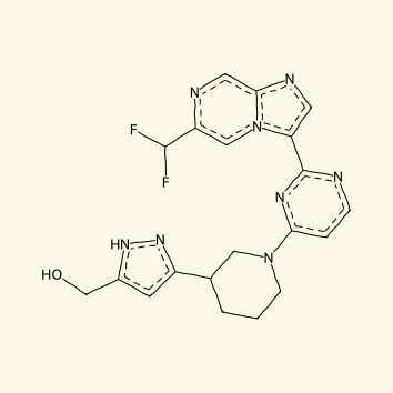 OCc1cc(C2CCCN(c3ccnc(-c4cnc5cnc(C(F)F)cn45)n3)C2)n[nH]1